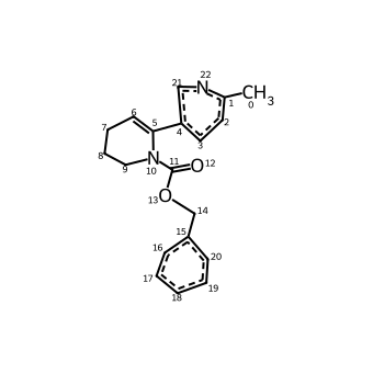 Cc1ccc(C2=CCCCN2C(=O)OCc2ccccc2)cn1